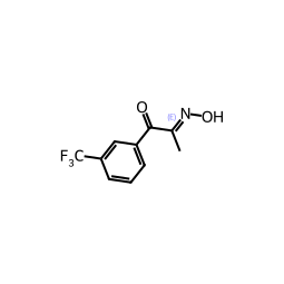 C/C(=N\O)C(=O)c1cccc(C(F)(F)F)c1